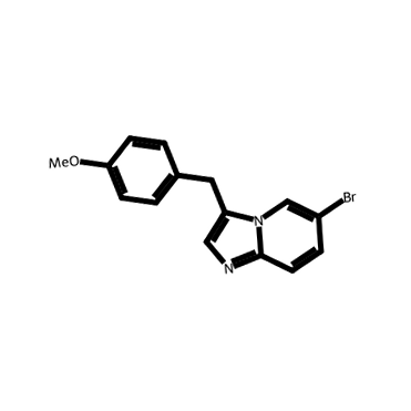 COc1ccc(Cc2cnc3ccc(Br)cn23)cc1